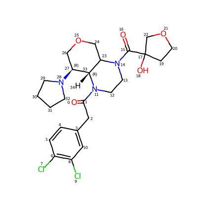 O=C(Cc1ccc(Cl)c(Cl)c1)N1CCN(C(=O)C2(O)CCOC2)C2COC[C@H](N3CCCC3)[C@H]21